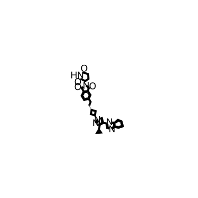 O=C1CCC(N2C(=O)c3ccc(CC[C@H]4C[C@H](n5cc(-c6cnc7ccccc7n6)c(C6CC6)n5)C4)cc3C2=O)C(=O)N1